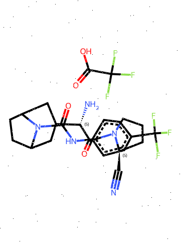 N#C[C@@H]1CCCN1C(=O)[C@@H](N)C1CC2CCC(C1)N2C(=O)Nc1ccc(C(F)(F)F)cc1.O=C(O)C(F)(F)F